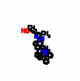 CCCc1nc2c(C)cc(C#CC(C)O)nc2n1[C@H]1CCc2cc(-c3ccccc3-c3nnnn3C(c3ccccc3)(c3ccccc3)c3ccccc3)ccc21